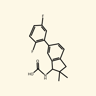 CC1(C)Cc2ccc(-c3cc(F)ccc3F)cc2C1NC(=O)O